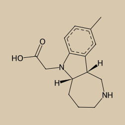 Cc1ccc2c(c1)[C@@H]1CNCCC[C@@H]1N2CC(=O)O